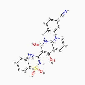 N#Cc1ccc(Cn2c(=O)c(C3=NS(=O)(=O)c4ccccc4N3)c(O)c3cccnc32)cc1